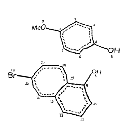 COc1ccc(O)cc1.Oc1cccc2cc(Br)ccc12